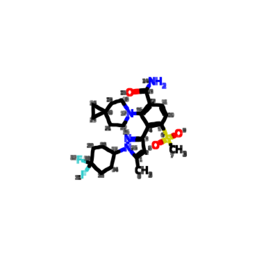 Cc1cc(-c2c(S(C)(=O)=O)ccc(C(N)=O)c2N2CCC3(CC2)CC3)nn1C1CCC(F)(F)CC1